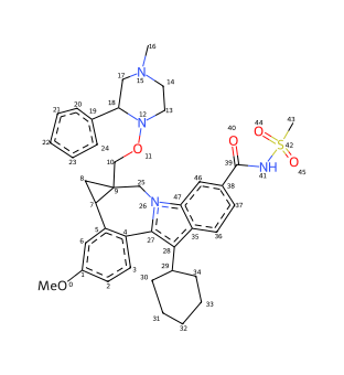 COc1ccc2c(c1)C1CC1(CON1CCN(C)CC1c1ccccc1)Cn1c-2c(C2CCCCC2)c2ccc(C(=O)NS(C)(=O)=O)cc21